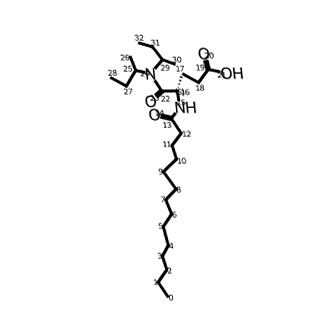 CCCCCCCCCCCCCC(=O)N[C@@H](CCC(=O)O)C(=O)N(C(C)CC)C(C)CC